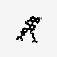 C=CC(=O)N1CC2(CCN(c3c(OCCCN(C)C)ncc(-c4c(C)ccc5[nH]ncc45)c3C#N)C2)C1